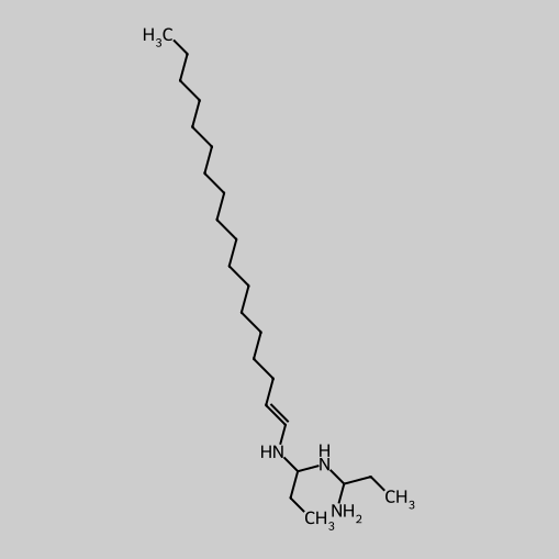 CCCCCCCCCCCCCCCCC=CNC(CC)NC(N)CC